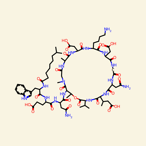 CC(C)CCCCCCC(=O)NC(Cc1c[nH]c2ccccc12)C(=O)NC(CCC(=O)O)C(=O)NC(CC(N)=O)C(=O)NC1C(=O)N(C)CC(=O)NC(C)C(=O)NC(CC(=O)O)C(=O)NC(CCCCN)C(=O)NC(CC(=O)O)C(=O)NCC(=O)NC(CC(N)=O)C(=O)NC(C(C)CC(=O)O)C(=O)NC(C(C)C)C(=O)OC1C